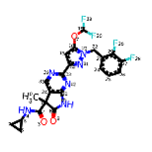 CC1(C(=O)NC2CC2)C(=O)Nc2nc(-c3cc(OC(F)F)n(Cc4cccc(F)c4F)n3)ncc21